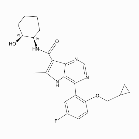 Cc1[nH]c2c(-c3cc(F)ccc3OCC3CC3)ncnc2c1C(=O)N[C@@H]1CCCC[C@@H]1O